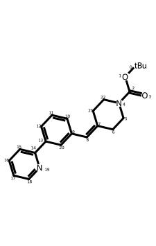 CC(C)(C)OC(=O)N1CCC(=Cc2cccc(-c3ccccn3)c2)CC1